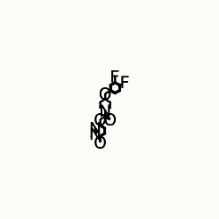 Cn1nc(OC(=O)N2CCC(Oc3ccc(F)c(F)c3)CC2)ccc1=O